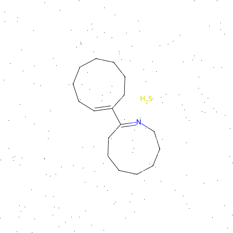 C1=C(C2=NCCCCCCC2)CCCCCCC1.S